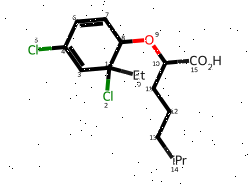 CCC1(Cl)C=C(Cl)C=CC1OC(CCCC(C)C)C(=O)O